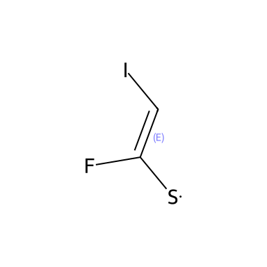 F/C([S])=C\I